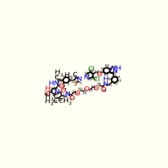 Cc1ncsc1-c1ccc([C@H](C)NC(=O)[C@@H]2C[C@@H](O)CN2C(=O)C(/C=N/C(=O)COCCOCCOCC(=O)NCc2cccc(-c3n[nH]c4ccc(OCc5c(Cl)cncc5Cl)cc34)c2)C(C)(C)C)cc1